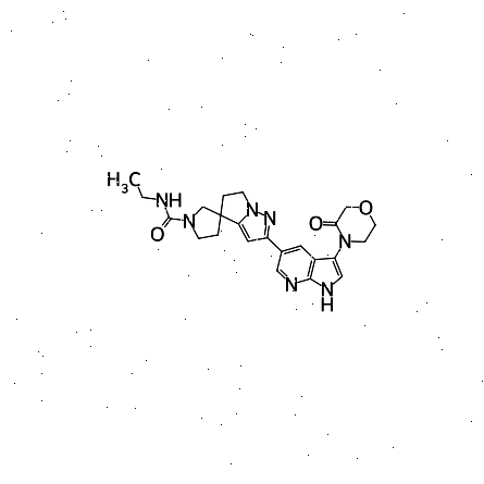 CCNC(=O)N1CCC2(CCn3nc(-c4cnc5[nH]cc(N6CCOCC6=O)c5c4)cc32)C1